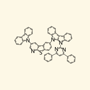 c1ccc(-c2cc(-c3ccccc3)nc(-n3c4ccccc4c4c5ccccc5n(-c5ccc6sc7ncc(-n8c9ccccc9c9ccccc98)cc7c6c5)c43)n2)cc1